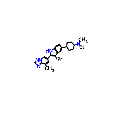 CCN(C)C1CCC(c2ccc3[nH]c(-c4cc(C)c5ncnn5c4)c(C(C)C)c3c2)CC1